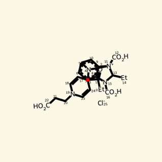 CCC(=O)C1(N2c3ccc4c(c3)[N+]2(C(=O)O)C(CC)N4C(=O)O)C=CN(CCC(=O)O)C=C1.[Cl-]